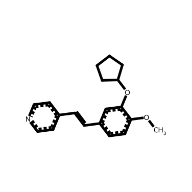 COc1ccc(C=Cc2ccncc2)cc1OC1CCCC1